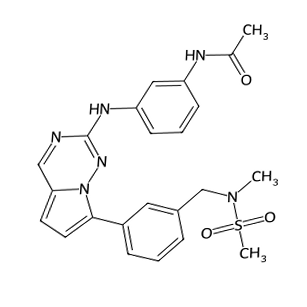 CC(=O)Nc1cccc(Nc2ncc3ccc(-c4cccc(CN(C)S(C)(=O)=O)c4)n3n2)c1